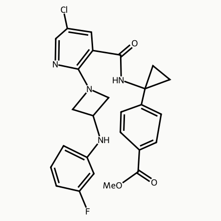 COC(=O)c1ccc(C2(NC(=O)c3cc(Cl)cnc3N3CC(Nc4cccc(F)c4)C3)CC2)cc1